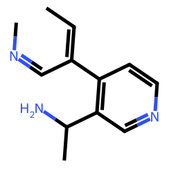 C/C=C(\C=N/C)c1ccncc1C(C)N